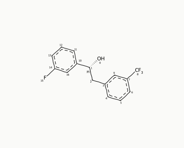 O[C@H]([CH]c1cccc(C(F)(F)F)c1)c1cccc(F)c1